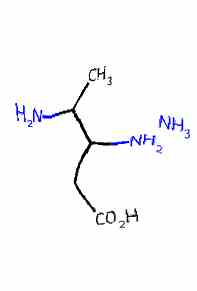 CC(N)C(N)CC(=O)O.N